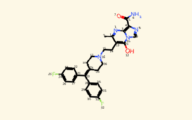 Cc1nc2c(C(N)=O)ncn2c(O)c1CCN1CCC(=C(c2ccc(F)cc2)c2ccc(F)cc2)CC1